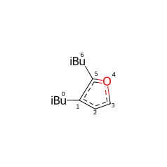 CCC(C)c1ccoc1C(C)CC